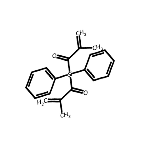 C=C(C)C(=O)[Si](C(=O)C(=C)C)(c1ccccc1)c1ccccc1